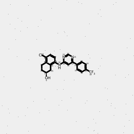 O[C@H]1CCc2c(Cl)ccc(Nc3cc(-c4ccc(C(F)(F)F)cc4)ncn3)c2C1